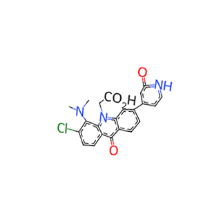 CN(C)c1c(Cl)ccc2c(=O)c3ccc(-c4cc[nH]c(=O)c4)cc3n(CC(=O)O)c12